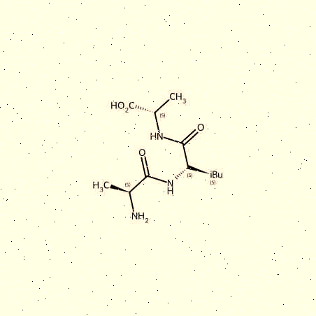 CC[C@H](C)[C@H](NC(=O)[C@H](C)N)C(=O)N[C@@H](C)C(=O)O